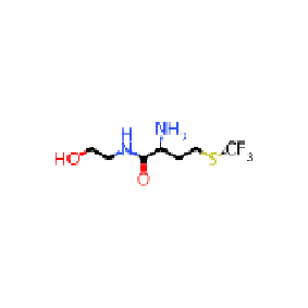 N[C@@H](CCSC(F)(F)F)C(=O)NCCO